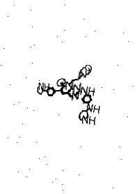 O=c1c(-c2ccc(C3CCCN3)cc2)cc2cnc(Nc3ccc(NC4CCCNC4)cc3)nc2n1CCN1CCOCC1